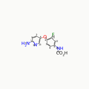 Nc1ccc(Oc2ccc(NC(=O)O)cc2F)cn1